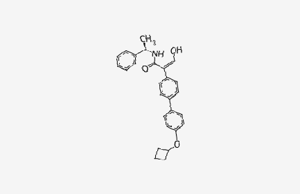 C[C@@H](NC(=O)C(=CO)c1ccc(-c2ccc(OC3CCC3)cc2)cc1)c1ccccc1